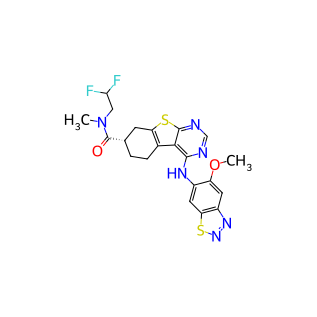 COc1cc2nnsc2cc1Nc1ncnc2sc3c(c12)CC[C@H](C(=O)N(C)CC(F)F)C3